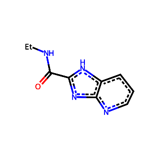 CCNC(=O)c1nc2ncccc2[nH]1